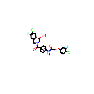 O=C(COc1ccc(Cl)c(F)c1)NC12CCC(C(=O)N(CCO)Cc3ccc(Cl)c(F)c3)(CC1)CC2